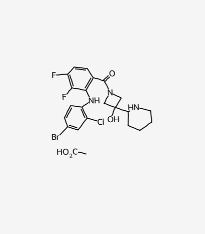 CC(=O)O.O=C(c1ccc(F)c(F)c1Nc1ccc(Br)cc1Cl)N1CC(O)(C2CCCCN2)C1